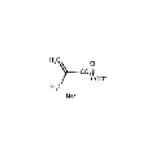 C=C(C)C(=O)O.O=C([O-])Cl.[Na+]